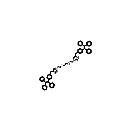 c1ccc(C(=C(c2ccccc2)c2ccc(Cc3cn(CCOCCOCCn4cc(Cc5ccc(C(=C(c6ccccc6)c6ccccc6)c6ccccc6)cc5)nn4)nn3)cc2)c2ccccc2)cc1